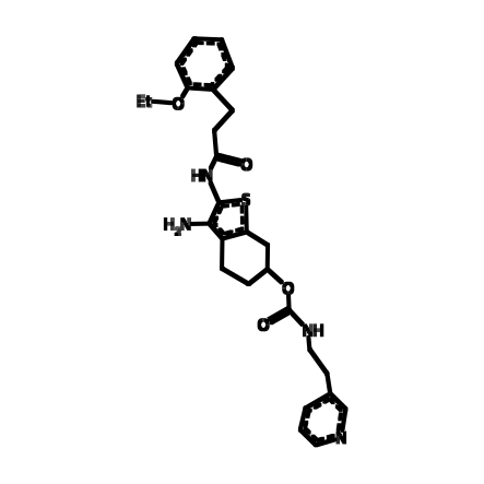 CCOc1ccccc1CCC(=O)Nc1sc2c(c1N)CCC(OC(=O)NCCc1cccnc1)C2